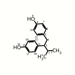 CC(C)C(Cc1ccc(O)cc1)c1ccc(O)cc1